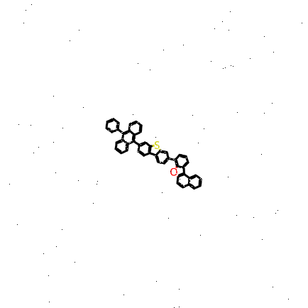 c1ccc(-c2c3ccccc3c(-c3ccc4c(c3)sc3cc(-c5cccc6c5oc5ccc7ccccc7c56)ccc34)c3ccccc23)cc1